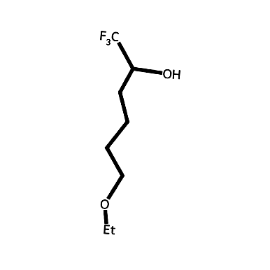 CCOCCCCC(O)C(F)(F)F